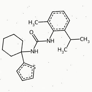 Cc1cccc(C(C)C)c1NC(=O)NC1(c2cccs2)CCCCC1